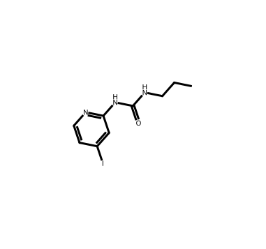 CCCNC(=O)Nc1cc(I)ccn1